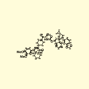 CC[C@H](C)[C@H](NC(=O)Oc1c[nH]c2c(-c3c(OCC4CC4)ccc4c3OCO4)ncnc12)C(=O)N1CCC(N2N=C(c3ccc(OC)c(OC)c3)[C@H]3CCCC[C@H]3C2=O)CC1